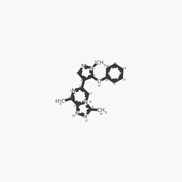 Cc1nc(-c2cnn(C)c2Oc2ccccc2)cn2c(C)nnc12